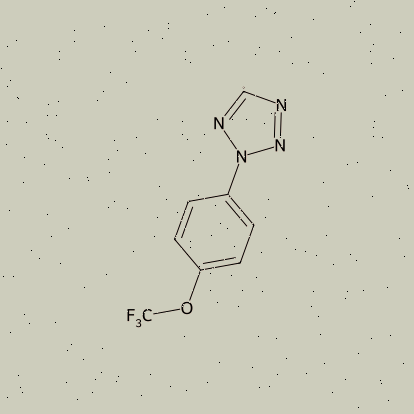 FC(F)(F)Oc1ccc(-n2n[c]nn2)cc1